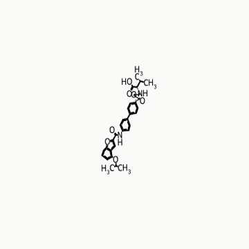 CC(C)Oc1cccc2oc(C(=O)Nc3ccc(-c4ccc(S(=O)(=O)N[C@H](C(=O)O)C(C)C)cc4)cc3)cc12